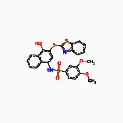 COc1ccc(S(=O)(=O)Nc2cc(Sc3nc4ccccc4s3)c(O)c3ccccc23)cc1OC